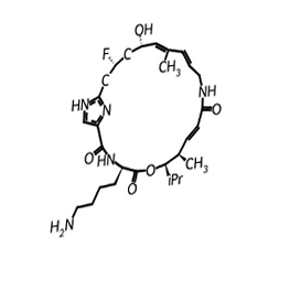 CC1=C\[C@@H](O)C[C@@H](F)Cc2nc(c[nH]2)C(=O)N[C@H](CCCCN)C(=O)O[C@H](C(C)C)[C@H](C)/C=C/C(=O)NC\C=C\1